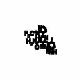 Cc1ccc2[nH]ncc2c1-c1nc(-c2cccnc2NCC(F)(F)F)nc(C(N)=O)c1N